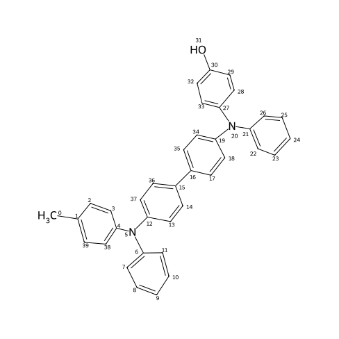 Cc1ccc(N(c2ccccc2)c2ccc(-c3ccc(N(c4ccccc4)c4ccc(O)cc4)cc3)cc2)cc1